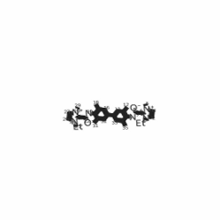 CCn1cc[n+](C)c1/C([O-])=N/c1c(C)cc(-c2cc(C)c(/N=C(\[O-])c3n(CC)cc[n+]3C)c(C)c2)cc1C